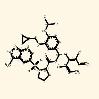 C=C/C(Cl)=C(C[C@H](OC(=O)[C@H]1CCCN1S(=O)(=O)c1cnc2onc(C)c2c1)c1ccc(OC(F)F)c(OCC2CC2)c1)\C(Cl)=C/C